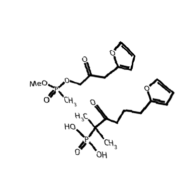 CC(C)(C(=O)CCCc1ccco1)P(=O)(O)O.COP(C)(=O)OCC(=O)Cc1ccco1